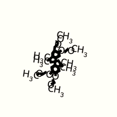 COCCOc1cc2c(cc1COCOC)C(C)(C)CC21CC(C)(C)c2cc(OCCOC)c(OCCOC)cc21